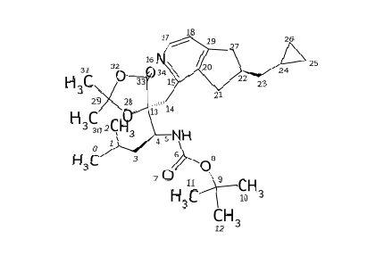 CC(C)C[C@H](NC(=O)OC(C)(C)C)[C@@]1(Cc2nccc3c2C[C@H](CC2CC2)C3)OC(C)(C)OC1=O